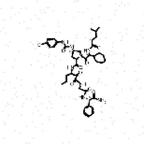 CCCC(NC(=O)C1C[C@H](NC(=O)Nc2ccc(Cl)cc2)CN1C(=O)[C@@H](NC(=O)OCC(C)C)C1CCCCC1)C(=O)C(=O)NCC(=O)N[C@H](C(N)=O)c1ccccc1